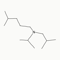 CC(C)CCCN(CC(C)C)C(C)C